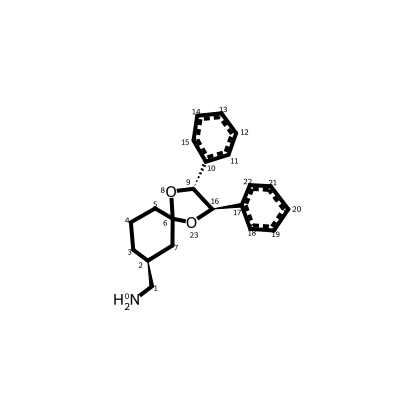 NC[C@H]1CCCC2(C1)O[C@H](c1ccccc1)[C@@H](c1ccccc1)O2